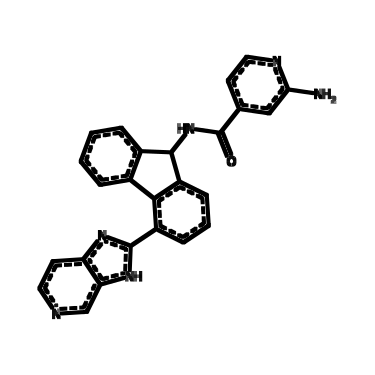 Nc1cc(C(=O)NC2c3ccccc3-c3c(-c4nc5ccncc5[nH]4)cccc32)ccn1